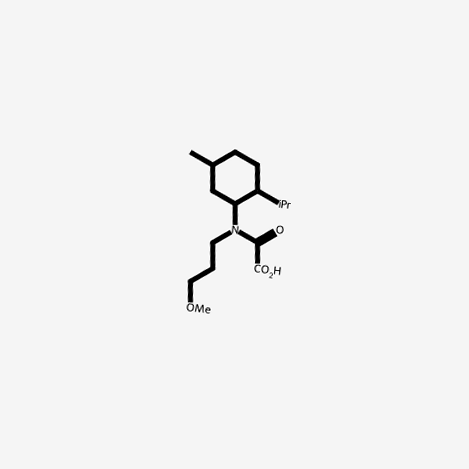 COCCCN(C(=O)C(=O)O)C1CC(C)CCC1C(C)C